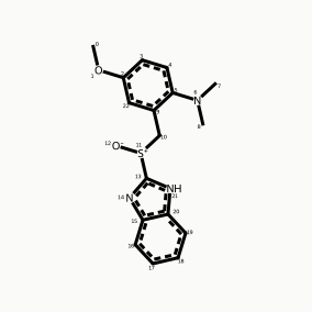 COc1ccc(N(C)C)c(C[S+]([O-])c2nc3ccccc3[nH]2)c1